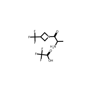 CC(N)C(=O)N1CC(C(F)(F)F)C1.O=C(O)C(F)(F)F